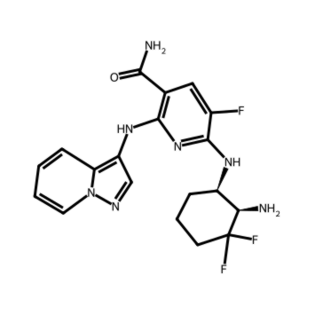 NC(=O)c1cc(F)c(N[C@@H]2CCCC(F)(F)[C@@H]2N)nc1Nc1cnn2ccccc12